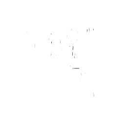 CCCCOC(=O)CCCN1c2cc(O)ccc2C(CP(OC)OC)=CC1(C)C